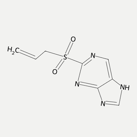 C=CCS(=O)(=O)c1ncc2[nH]cnc2n1